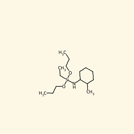 CCCO[Si](CC)(NC1CCCCC1C)OCCC